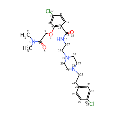 CN(C)C(=O)COc1cc(Cl)ccc1C(=O)NCCN1CCN(CCc2ccc(Cl)cc2)CC1